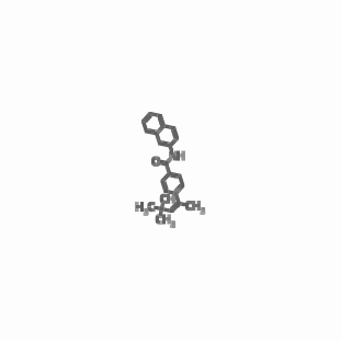 C/C(=C/C(C)(C)C)c1ccc(C(=O)Nc2ccc3ccccc3c2)cc1